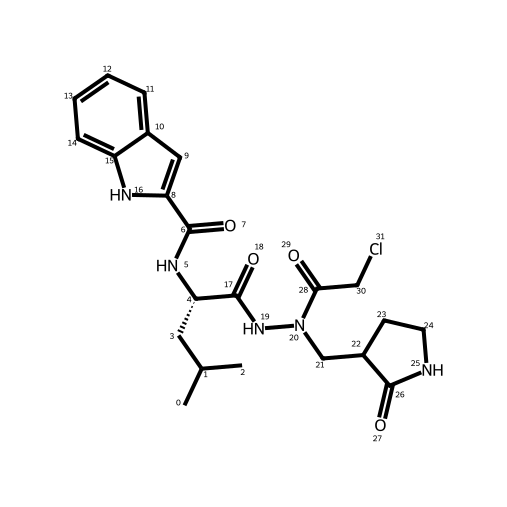 CC(C)C[C@H](NC(=O)c1cc2ccccc2[nH]1)C(=O)NN(CC1CCNC1=O)C(=O)CCl